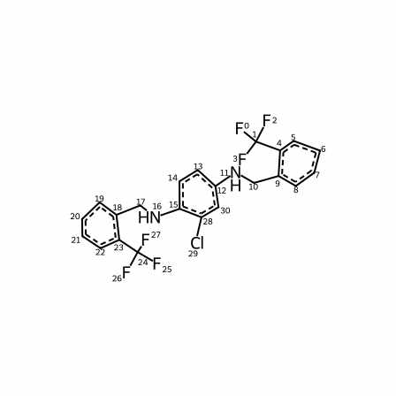 FC(F)(F)c1ccccc1CNc1ccc(NCc2ccccc2C(F)(F)F)c(Cl)c1